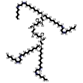 CCCCC/C=C\C/C=C\CCCCCCCCN(CCCCCCCC/C=C\C/C=C\CCCCC)CCN(C)C(=O)CCN(C)CCN(C)CCC(=O)N(C)CCN(CCCCCCCC/C=C\C/C=C\CCCCC)CCCCCCCC/C=C\C/C=C\CCCCC